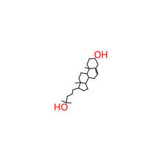 CC(C)(O)CCCC1CCC2C3CC=C4CC(O)CCC4(C)C3CCC12C